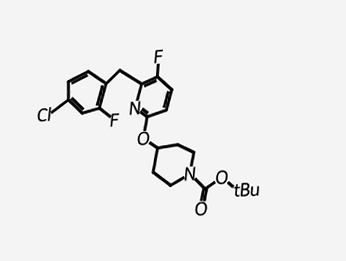 CC(C)(C)OC(=O)N1CCC(Oc2ccc(F)c(Cc3ccc(Cl)cc3F)n2)CC1